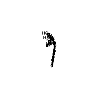 COCCOCCOCCOCCOCCOCCOCCOc1ccc(-c2cc3c(N[C@H]4CC[C@H](NC(=O)OC(C)(C)C)CC4)c(/C(N)=N/c4ccc(O)cc4Cl)cnn3c2)cc1